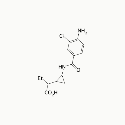 CCC(C(=O)O)C1CC1NC(=O)c1ccc(N)c(Cl)c1